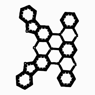 c1ccc2c(c1)Sc1cc3c4c5c1B2c1cc2c(oc6ccccc62)c2c1N5c1c(cc5c(oc6ccccc65)c1O2)B4c1ccccc1S3